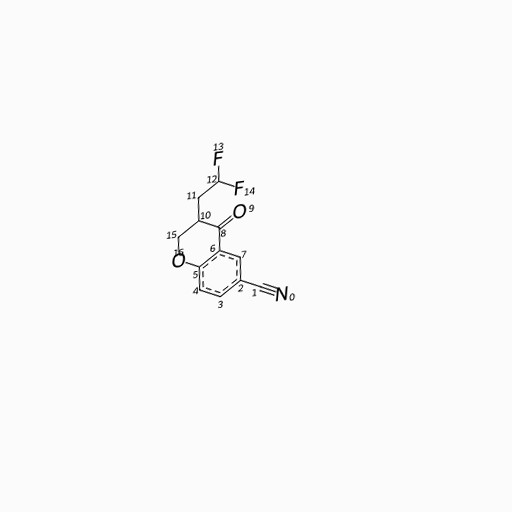 N#Cc1ccc2c(c1)C(=O)C(CC(F)F)CO2